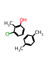 Cc1c(O)cccc1Cl.Cc1ccc(C)cc1